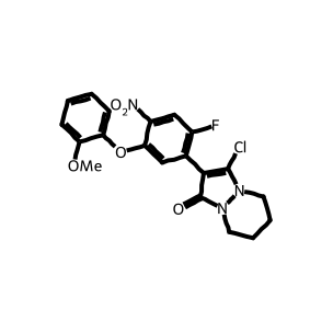 COc1ccccc1Oc1cc(-c2c(Cl)n3n(c2=O)CCCC3)c(F)cc1[N+](=O)[O-]